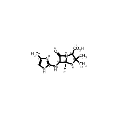 Cc1c[nH]c(NC2C(=O)N3C(C(=O)O)C(C)(C)S[C@H]23)n1